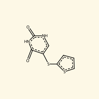 O=c1[nH]cc(Sc2cccs2)c(=O)[nH]1